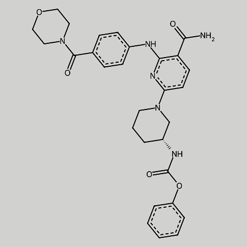 NC(=O)c1ccc(N2CCC[C@@H](NC(=O)Oc3ccccc3)C2)nc1Nc1ccc(C(=O)N2CCOCC2)cc1